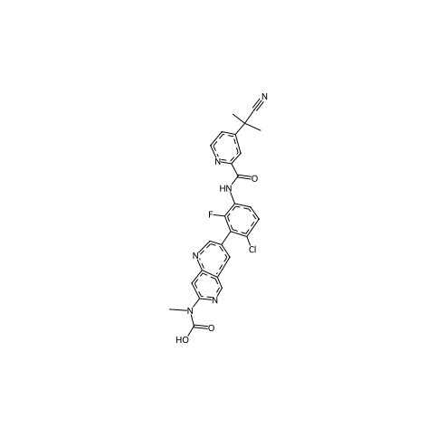 CN(C(=O)O)c1cc2ncc(-c3c(Cl)ccc(NC(=O)c4cc(C(C)(C)C#N)ccn4)c3F)cc2cn1